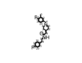 Cc1cc(CN2CCC(=CC(=O)NCCc3ccc(F)cc3)CC2)ccc1F